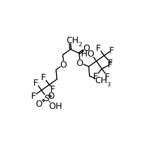 C=C(COCCC(F)(F)C(F)(F)S(=O)(=O)O)C(=O)OC(CC)C(O)(C(F)(F)F)C(F)(F)F